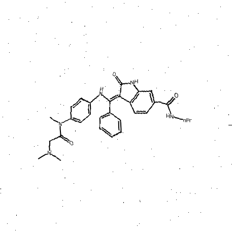 CCCNC(=O)c1ccc2c(c1)NC(=O)/C2=C(\Nc1ccc(N(C)C(=O)CN(C)C)cc1)c1ccccc1